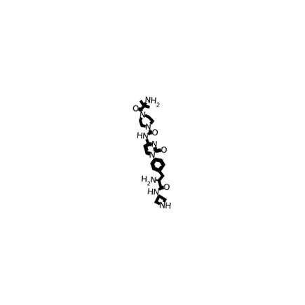 CC(C)(N)C(=O)N1CCN(C(=O)Nc2ccn(-c3ccc(C[C@H](N)C(=O)NC4CNC4)cc3)c(=O)n2)CC1